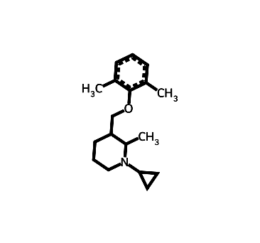 Cc1cccc(C)c1OCC1CCCN(C2CC2)C1C